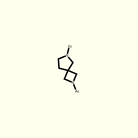 CCN1CCC2(C1)CN(C(C)=O)C2